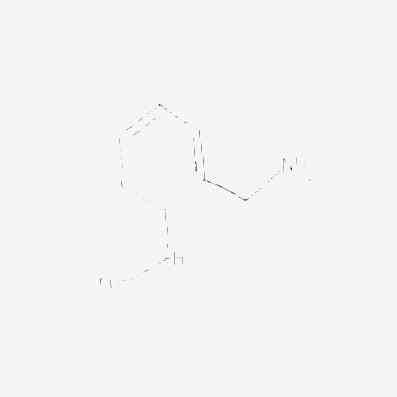 CCCCCPc1ccccc1CN